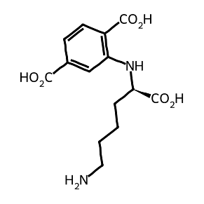 NCCCC[C@@H](Nc1cc(C(=O)O)ccc1C(=O)O)C(=O)O